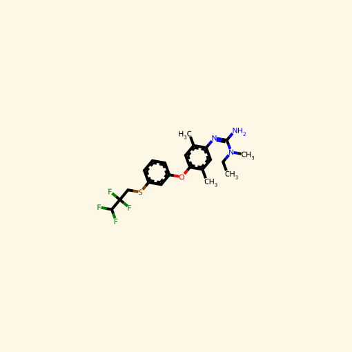 CCN(C)C(N)=Nc1cc(C)c(Oc2cccc(SCC(F)(F)C(F)F)c2)cc1C